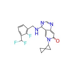 O=c1cc2ncnc(NCc3cccc(C(F)F)c3F)c2cn1C1CC12CC2